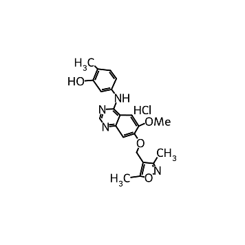 COc1cc2c(Nc3ccc(C)c(O)c3)ncnc2cc1OCc1c(C)noc1C.Cl